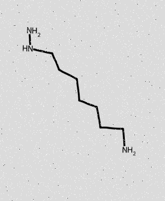 NCCCCCCCNN